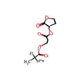 CCCC(C)(CC)C(=O)OCC(=O)OC1CCOC1=O